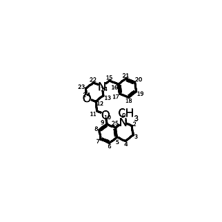 CN1CCCc2cccc(OCC3CN(Cc4ccccc4)CCO3)c21